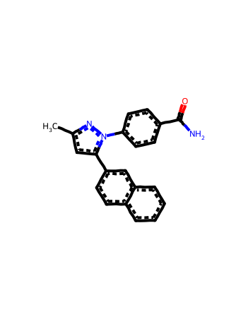 Cc1cc(-c2ccc3ccccc3c2)n(-c2ccc(C(N)=O)cc2)n1